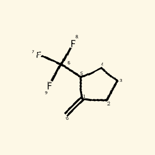 C=C1CCCC1C(F)(F)F